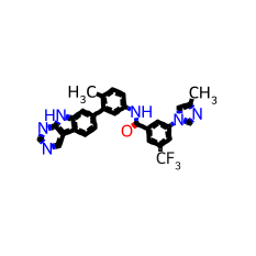 Cc1cn(-c2cc(C(=O)Nc3ccc(C)c(-c4ccc5c(c4)[nH]c4ncncc45)c3)cc(C(F)(F)F)c2)cn1